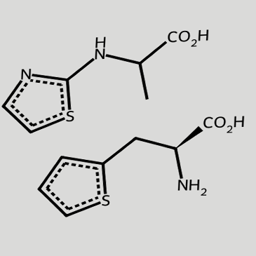 CC(Nc1nccs1)C(=O)O.N[C@@H](Cc1cccs1)C(=O)O